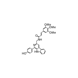 COc1cc(/C=C/C(=O)NCc2cc3c([nH]c4ccccc43)c(-c3ccc(O)cc3)n2)cc(OC)c1OC